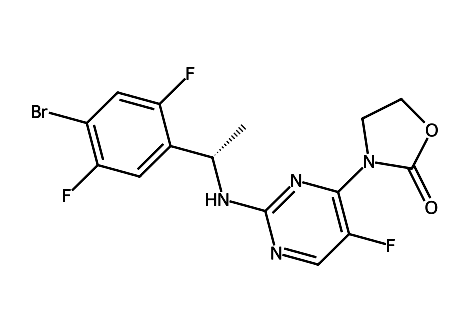 C[C@H](Nc1ncc(F)c(N2CCOC2=O)n1)c1cc(F)c(Br)cc1F